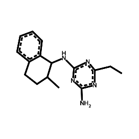 CCc1nc(N)nc(NC2c3ccccc3CCC2C)n1